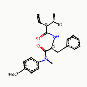 C=C[C@@H](C(=C)CC)C(=O)N[C@@H](Cc1ccccc1)C(=O)N(C)c1ccc(OC)cc1